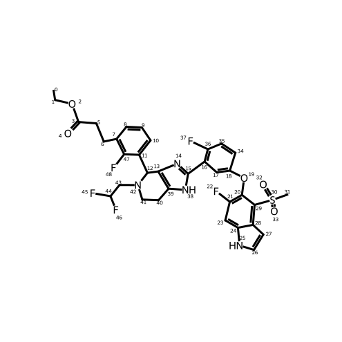 CCOC(=O)CCc1cccc(C2c3nc(-c4cc(Oc5c(F)cc6[nH]ccc6c5S(C)(=O)=O)ccc4F)[nH]c3CCN2CC(F)F)c1F